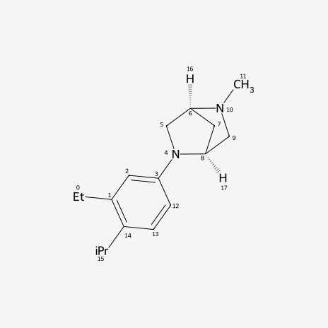 CCc1cc(N2C[C@@H]3C[C@H]2CN3C)ccc1C(C)C